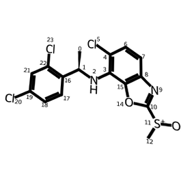 C[C@@H](Nc1c(Cl)ccc2nc([S+](C)[O-])oc12)c1ccc(Cl)cc1Cl